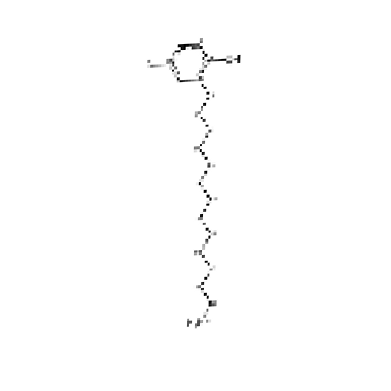 Cc1ccc(O)c(CCCCCCCCCCCCCN)c1